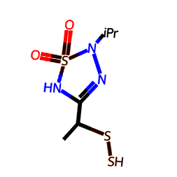 CC(SS)C1=NN(C(C)C)S(=O)(=O)N1